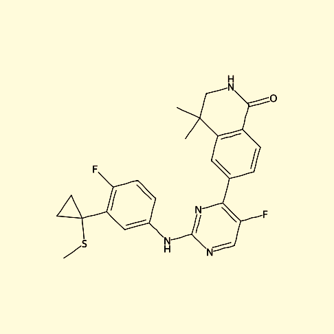 CSC1(c2cc(Nc3ncc(F)c(-c4ccc5c(c4)C(C)(C)CNC5=O)n3)ccc2F)CC1